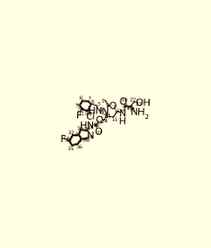 CC(=O)N(NCc1cccc(F)c1Cl)[C@@H](CCNC(=O)[C@H](N)CO)COC(=O)Nc1cc2cc(F)ccc2cn1